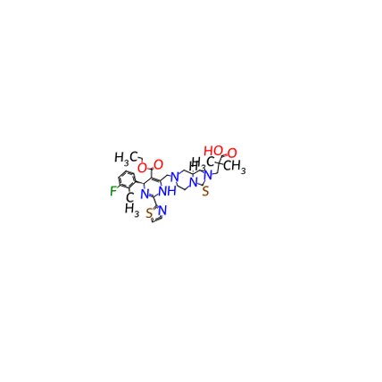 CCOC(=O)C1=C(CN2CCN3C(=S)N(CC(C)(C)C(=O)O)C[C@@H]3C2)NC(c2nccs2)=N[C@H]1c1cccc(F)c1C